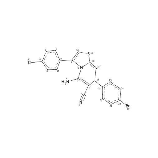 N#CC1=C(N)N2C(c3ccc(Cl)cc3)=CSC2=NC1c1ccc(Br)cc1